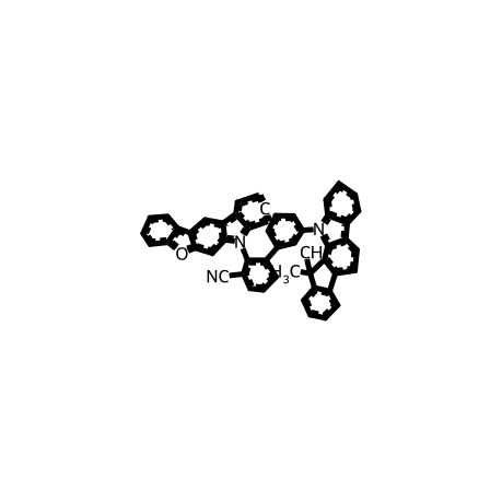 CC1(C)c2ccccc2-c2ccc3c4ccccc4n(-c4cccc(-c5cccc(C#N)c5-n5c6ccccc6c6cc7c(cc65)oc5ccccc57)c4)c3c21